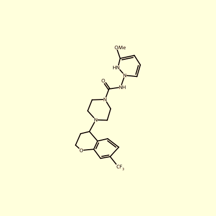 COC1=CC=CN(NC(=O)N2CCN(C3CCOc4cc(C(F)(F)F)ccc43)CC2)N1